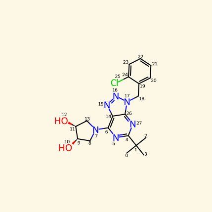 CC(C)(C)c1nc(N2C[C@@H](O)[C@@H](O)C2)c2nnn(Cc3ccccc3Cl)c2n1